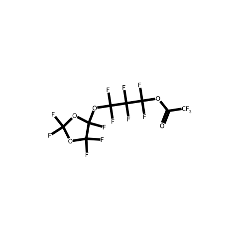 O=C(OC(F)(F)C(F)(F)C(F)(F)OC1(F)OC(F)(F)OC1(F)F)C(F)(F)F